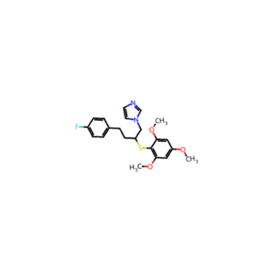 COc1cc(OC)c(SC(CCc2ccc(F)cc2)Cn2ccnc2)c(OC)c1